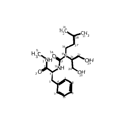 CNC(=O)[C@H](Cc1ccccc1)NC(=O)N(CCC(C)C)C(CO)CO